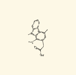 CSc1c(CC(=O)O)cc(C)c2c3ccccc3n(C)c12